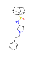 [O-][S@+](NC1CCN(CCc2ccccc2)C1)C12CC3CC(CC(C3)C1)C2